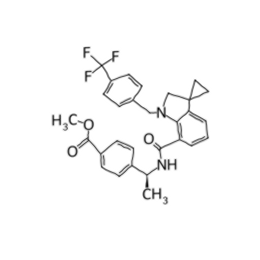 COC(=O)c1ccc([C@H](C)NC(=O)c2cccc3c2N(Cc2ccc(C(F)(F)F)cc2)CC32CC2)cc1